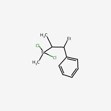 CCC(c1ccccc1)C(C)[Si](C)(Cl)Cl